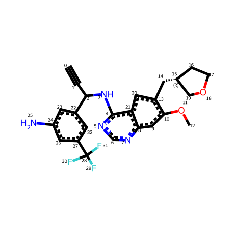 C#CC(Nc1ncnc2cc(OC)c(C[C@@H]3CCOC3)cc12)c1cc(N)cc(C(F)(F)F)c1